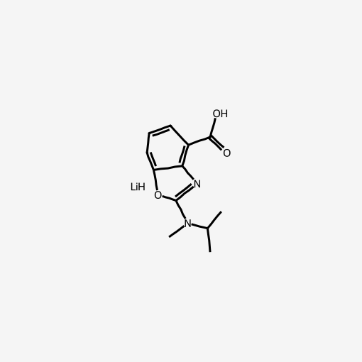 CC(C)N(C)c1nc2c(C(=O)O)cccc2o1.[LiH]